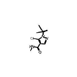 CNC(=O)c1cnn(C(C)(C)C)c1Cl